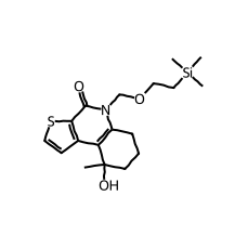 CC1(O)CCCc2c1c1ccsc1c(=O)n2COCC[Si](C)(C)C